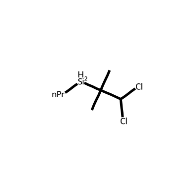 CCC[SiH2]C(C)(C)C(Cl)Cl